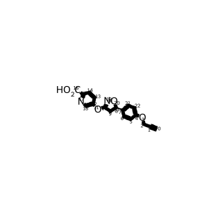 C#CCOc1ccc([C@H]2CC(Oc3ccc(C(=O)O)nc3)=NO2)cc1